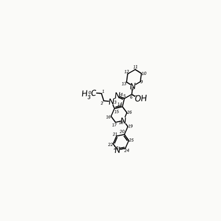 CCCn1nc(C(O)N2CCCCC2)c2c1CCN(Cc1ccncc1)C2